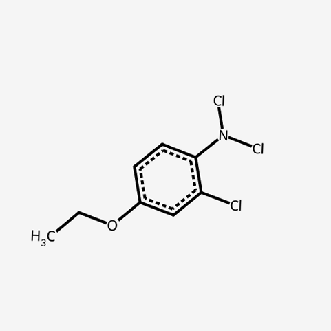 CCOc1ccc(N(Cl)Cl)c(Cl)c1